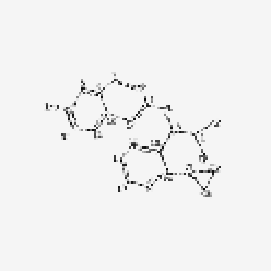 CC(C)[C](Cc1ccc2ccccc2c1)c1ccccc1C1CC1